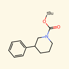 CC(C)(C)OC(=O)N1CCCC(c2ccccc2)C1